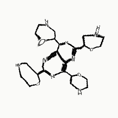 C1COC(c2nc(C3CNCCO3)c3nc(C4CNCCO4)nc(C4CNCCO4)c3n2)CN1